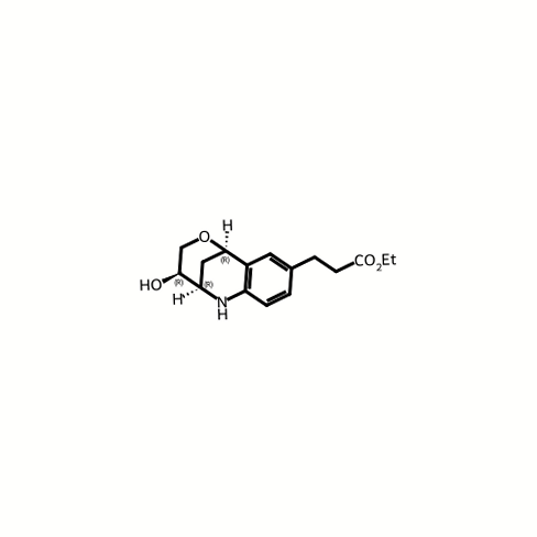 CCOC(=O)CCc1ccc2c(c1)[C@H]1C[C@@H](N2)[C@@H](O)CO1